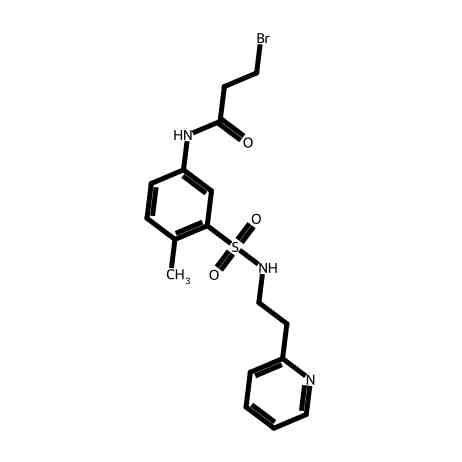 Cc1ccc(NC(=O)CCBr)cc1S(=O)(=O)NCCc1ccccn1